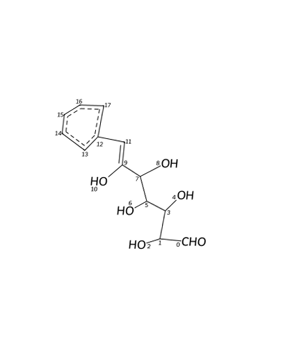 O=CC(O)C(O)C(O)C(O)C(O)=Cc1ccccc1